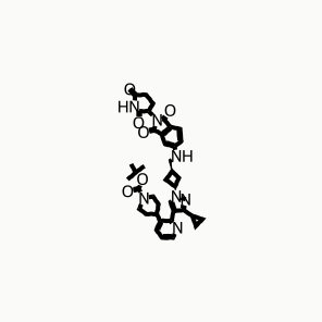 CC(C)(C)OC(=O)N1CCC(c2cccnc2-c2cn([C@H]3C[C@H](CNc4ccc5c(c4)C(=O)N(C4CCC(=O)NC4=O)C5=O)C3)nc2C2CC2)CC1